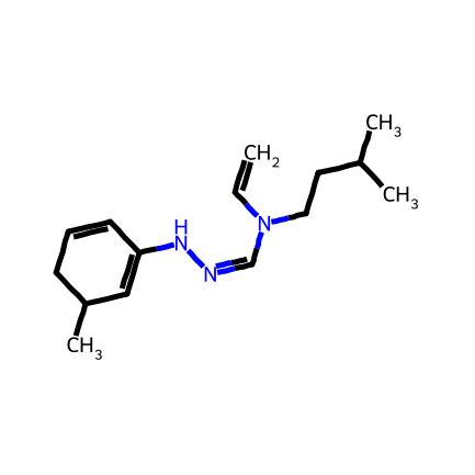 C=CN(/C=N\NC1=CC(C)CC=C1)CCC(C)C